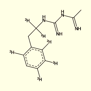 [2H]c1cc([2H])c(CC([2H])([2H])NC(=N)NC(C)=N)c([2H])c1[2H]